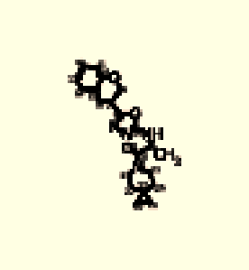 C[C@@H](Nc1nnc(C2COc3ccccc3C2)o1)C(=O)N1CCC2(CC1)CC2